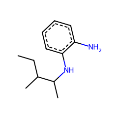 CCC(C)C(C)Nc1ccccc1N